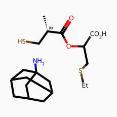 CCSCC(OC(=O)[C@@H](C)CS)C(=O)O.NC12CC3CC(CC(C3)C1)C2